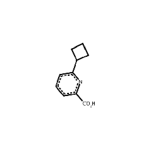 O=C(O)c1cccc(C2CCC2)n1